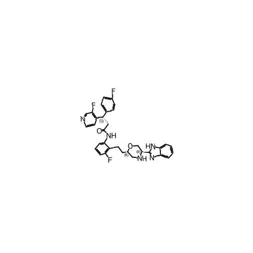 O=C(C[C@@H](c1ccc(F)cc1)c1ccncc1F)Nc1cccc(F)c1CC[C@@H]1CN[C@H](c2nc3ccccc3[nH]2)CO1